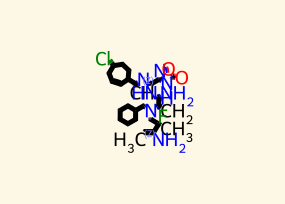 C=C(/N=C(\NC(N)C(=C)N(CC1CCCCC1)CC(C)(F)/C(N)=C/C)c1noc(=O)[nH]1)C1C=CCC(Cl)CC1